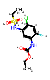 CCOC(=O)Nc1cc(NS(=O)(=O)CC)c(Cl)cc1F